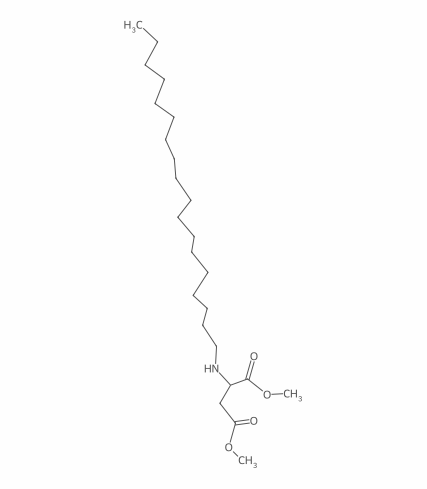 CCCCCCCCCCCCCCCCCCNC(CC(=O)OC)C(=O)OC